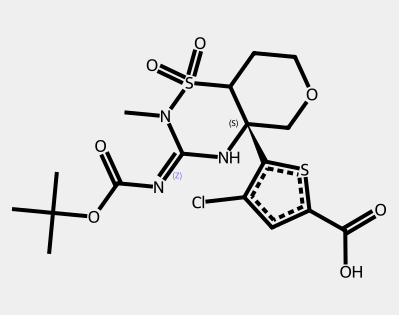 CN1/C(=N\C(=O)OC(C)(C)C)N[C@@]2(c3sc(C(=O)O)cc3Cl)COCCC2S1(=O)=O